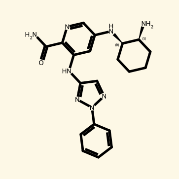 NC(=O)c1ncc(N[C@@H]2CCCC[C@@H]2N)cc1Nc1cnn(-c2ccccc2)n1